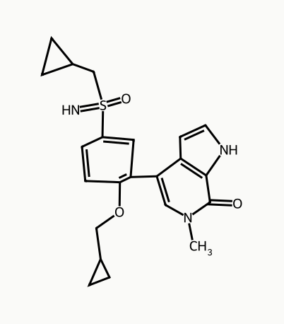 Cn1cc(-c2cc(S(=N)(=O)CC3CC3)ccc2OCC2CC2)c2cc[nH]c2c1=O